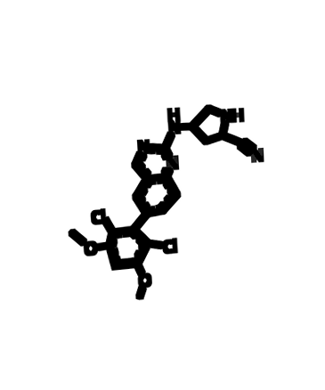 COc1cc(OC)c(Cl)c(-c2ccc3nc(NC4CNC(C#N)C4)ncc3c2)c1Cl